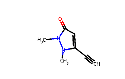 C#Cc1cc(=O)n(C)n1C